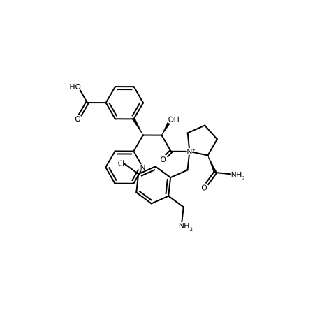 NCc1ccc(Cl)cc1C[N+]1(C(=O)[C@H](O)[C@H](c2cccc(C(=O)O)c2)c2ccccn2)CCC[C@H]1C(N)=O